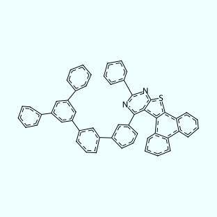 c1ccc(-c2cc(-c3ccccc3)cc(-c3cccc(-c4cccc(-c5nc(-c6ccccc6)nc6sc7c8ccccc8c8ccccc8c7c56)c4)c3)c2)cc1